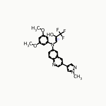 COc1cc(OC)cc(N(/C=C(\O)C(F)(F)F)c2ccc3ncc(-c4cnn(C)c4)cc3c2)c1